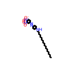 CCCCCCCCCCCCCCCCCCCCNc1ccc(/N=N/c2ccc([N+](=O)[O-])c([N+](=O)[O-])c2)cc1